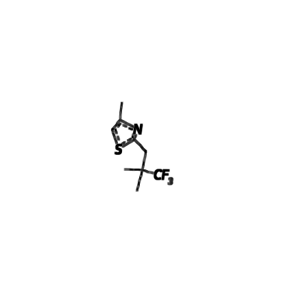 Cc1csc(CC(C)(C)C(F)(F)F)n1